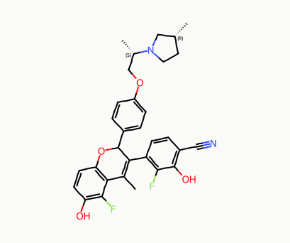 CC1=C(c2ccc(C#N)c(O)c2F)C(c2ccc(OC[C@H](C)N3CC[C@@H](C)C3)cc2)Oc2ccc(O)c(F)c21